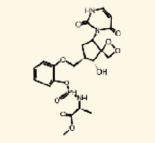 COC(=O)[C@H](C)N[PH](=O)Oc1ccccc1OC[C@H]1C[C@@H](n2c(=O)cc[nH]c2=O)[C@@]2(COO2)[C@@H]1O